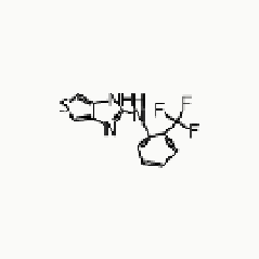 FC(F)(F)c1ccccc1Nc1nc2cscc2[nH]1